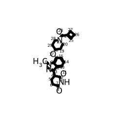 Cn1nc(C2CCC(=O)NC2=O)c2cccc(OC3CCN(C(=O)C4=CCC4)CC3)c21